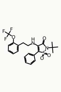 CC(C)(C)N1C(=O)C(NCCc2ccccc2OC(F)(F)F)=C(c2ccccc2)S1(=O)=O